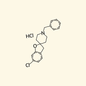 Cl.Clc1ccc2c(c1)OC1(CCN(Cc3ccccc3)CC1)C2